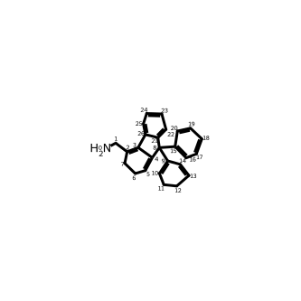 NCC1=C2C(=CCC1)C(C1=CCCC=C1)(c1ccccc1)c1ccccc12